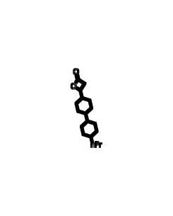 CCCC1CCC(C2CCC(C3CC(=O)O3)CC2)CC1